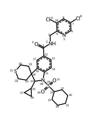 O=C(NCc1ncc(Cl)cc1Cl)c1ccc2c(c1)C1(CCSCC1)C(C1CC1)N2S(=O)(=O)C1CCCCC1